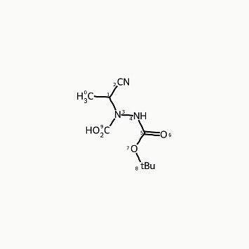 CC(C#N)N(NC(=O)OC(C)(C)C)C(=O)O